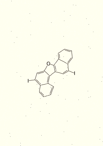 Ic1cc2c(oc3cc(I)c4ccccc4c32)c2ccccc12